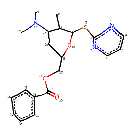 CC1C(Sc2ncccn2)OC(COC(=O)c2ccccc2)CC1N(C)C